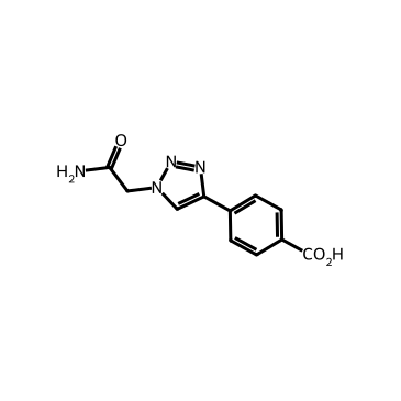 NC(=O)Cn1cc(-c2ccc(C(=O)O)cc2)nn1